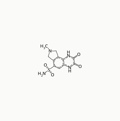 CN1Cc2c(S(N)(=O)=O)cc3[nH]c(=O)c(=O)[nH]c3c2C1